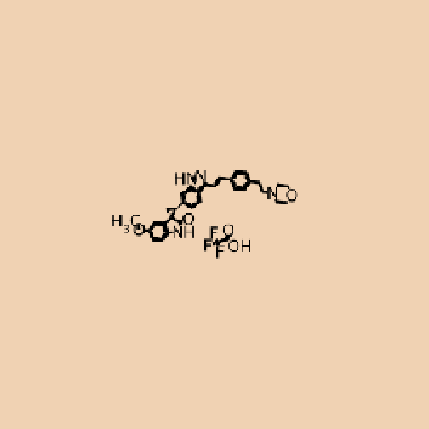 COc1ccc2c(c1)[C@]1(C[C@H]1c1ccc3c(C=Cc4ccc(CCN5CCOCC5)cc4)n[nH]c3c1)C(=O)N2.O=C(O)C(F)(F)F